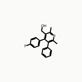 Cc1nc(C)c(-c2ccccc2)c(-c2ccc(F)cc2)c1CO